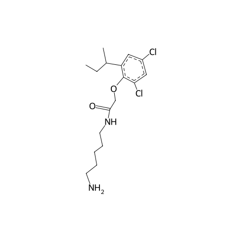 CCC(C)c1cc(Cl)cc(Cl)c1OCC(=O)NCCCCCN